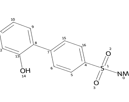 CNS(=O)(=O)c1ccc(-c2cc[c]cc2O)cc1